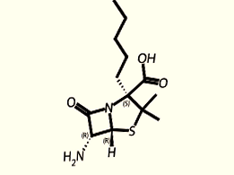 CCCCC[C@@]1(C(=O)O)N2C(=O)[C@@H](N)[C@H]2SC1(C)C